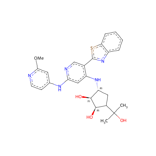 COc1cc(Nc2cc(N[C@@H]3CC(C(C)(C)O)[C@@H](O)[C@H]3O)c(-c3nc4ccccc4s3)cn2)ccn1